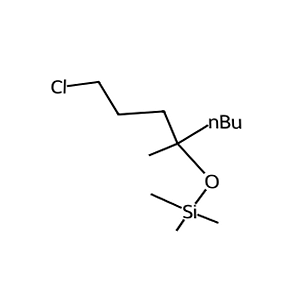 CCCCC(C)(CCCCl)O[Si](C)(C)C